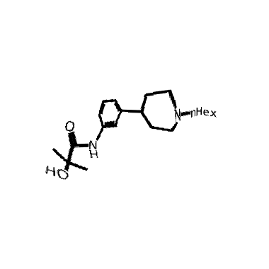 CCCCCCN1CCC(c2cccc(NC(=O)C(C)(C)O)c2)CC1